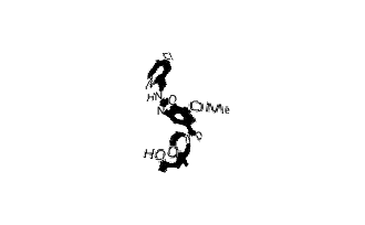 COc1cc(C(=O)N2CCOC(C)(CC(C)O)C2)cc2nc(NCc3cc(Cl)ccn3)oc12